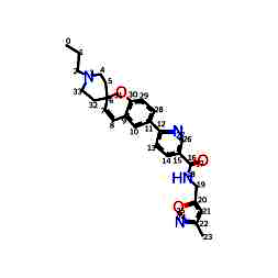 CCCN1CCC2(C=Cc3cc(-c4ccc(C(=O)NCc5cc(C)no5)cn4)ccc3O2)CC1